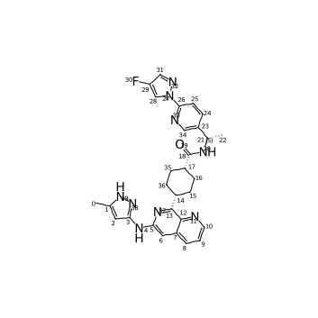 Cc1cc(Nc2cc3cccnc3c([C@H]3CC[C@@H](C(=O)N[C@@H](C)c4ccc(-n5cc(F)cn5)nc4)CC3)n2)n[nH]1